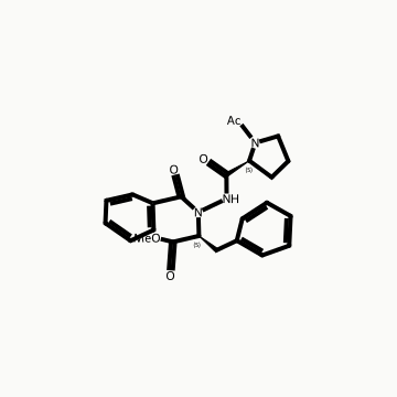 COC(=O)[C@H](Cc1ccccc1)N(NC(=O)[C@@H]1CCCN1C(C)=O)C(=O)c1ccccc1